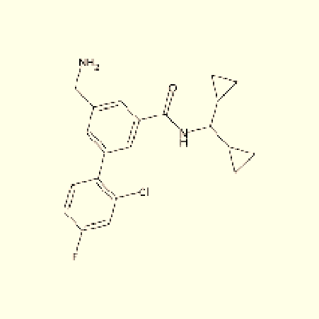 NCc1cc(C(=O)NC(C2CC2)C2CC2)cc(-c2ccc(F)cc2Cl)c1